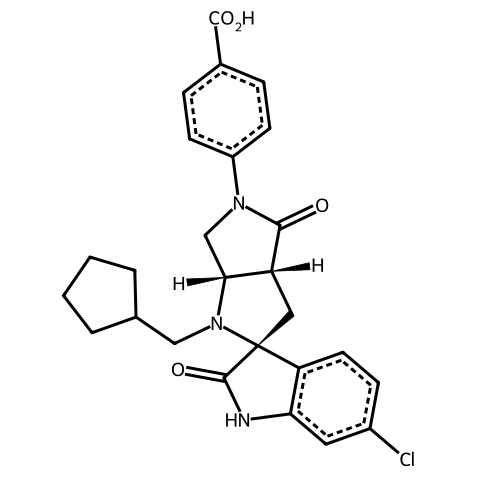 O=C(O)c1ccc(N2C[C@@H]3[C@@H](C[C@@]4(C(=O)Nc5cc(Cl)ccc54)N3CC3CCCC3)C2=O)cc1